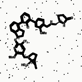 COc1cc(-c2cccc(-c3cccc4c3CC[C@@H]4Oc3nc(OC)c(CN4CCC5C(C)[C@@]54C(=O)O)cc3C(F)(F)F)c2Cl)ccc1CNC[C@@H]1CCC(=O)N1